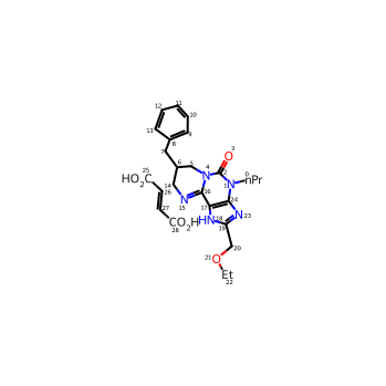 CCCN1C(=O)N2CC(Cc3ccccc3)CN=C2c2[nH]c(COCC)nc21.O=C(O)C=CC(=O)O